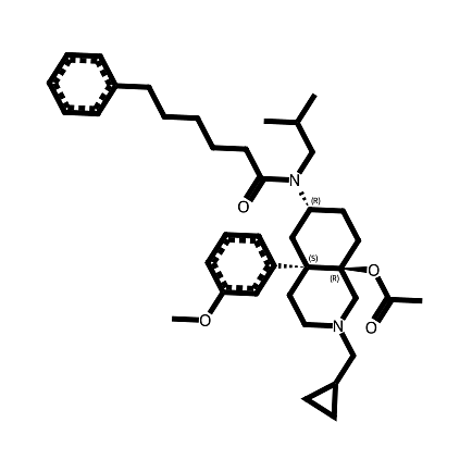 COc1cccc([C@@]23CCN(CC4CC4)C[C@@]2(OC(C)=O)CC[C@@H](N(CC(C)C)C(=O)CCCCCc2ccccc2)C3)c1